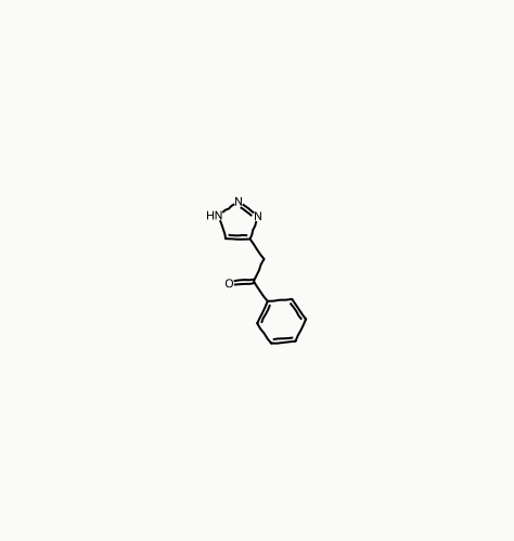 O=C(Cc1c[nH]nn1)c1ccccc1